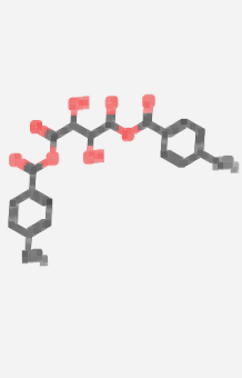 O=C(OC(=O)C(O)C(O)C(=O)OC(=O)c1ccc([N+](=O)[O-])cc1)c1ccc([N+](=O)[O-])cc1